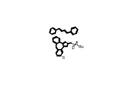 C(C=Cc1ccccc1)=Cc1ccccc1.CN([Si](=O)CC1C=C2C(=C1)c1ccccc1Cc1ccccc12)C(C)(C)C.[Ti]